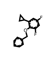 Fc1cc(F)c(OCc2ccccc2)c(C2CC2)c1